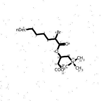 CCCCCCCCCCCCCCC(Br)C(=O)OC(CC(=O)[O-])C[N+](C)(C)C